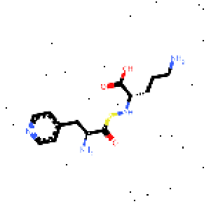 NCCC[C@H](NSC(=O)[C@@H](N)Cc1ccncc1)C(=O)O